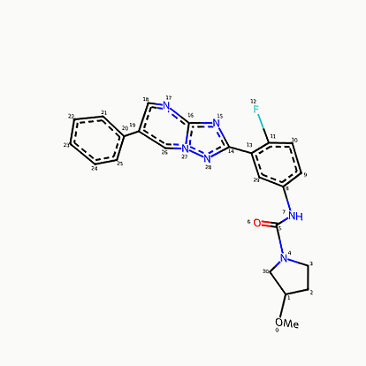 COC1CCN(C(=O)Nc2ccc(F)c(-c3nc4ncc(-c5ccccc5)cn4n3)c2)C1